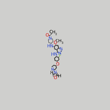 C=CC(=O)N1CCC(Nc2cc3c(Nc4ccc(Oc5ccnc(N6C[C@H]7C[C@@H]6CO7)c5)cc4F)ncnc3cc2OC)CC1